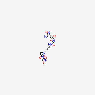 COc1cc(-c2cn(C)c(=O)c3cnccc23)cc(OC)c1CN1CC(C(=O)NCCCCCCCCNc2cccc3c2C(=O)N(C2CCC(=O)N(C)C2=O)C3=O)C1